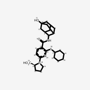 O=C(NC1C2CC3CC1CC(O)(C3)C2)c1ccc(N2CCC[C@H]2C(=O)O)nc1SC1CCCCC1